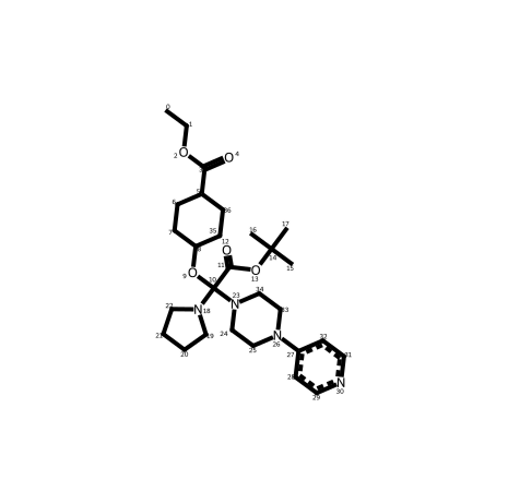 CCOC(=O)C1CCC(OC(C(=O)OC(C)(C)C)(N2CCCC2)N2CCN(c3ccncc3)CC2)CC1